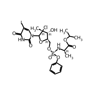 CC(C)OC(=O)[C@@H](C)N[P@@](=O)(OC[C@H]1OC(n2cc(I)c(=O)[nH]c2=O)[C@](C)(Cl)[C@@H]1O)Oc1ccccc1